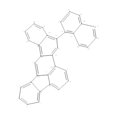 c1ccc2c(c1)-c1cccc3c1c-2cc1c2ccccc2c(-c2cccc4ncccc24)cc31